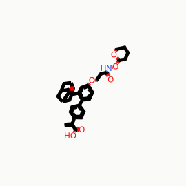 C=C(C(=O)O)c1ccc(-c2ccc(OCCC(=O)NOC3CCCCO3)cc2C23CC4CC(CC(C4)C2)C3)cc1